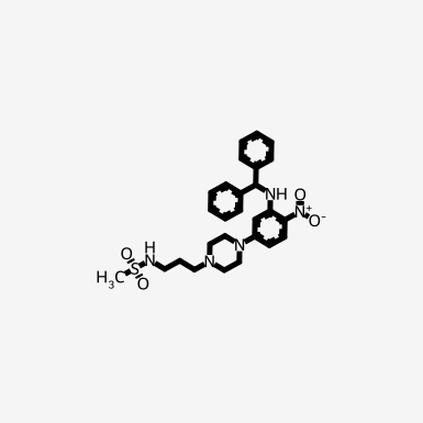 CS(=O)(=O)NCCCN1CCN(c2ccc([N+](=O)[O-])c(NC(c3ccccc3)c3ccccc3)c2)CC1